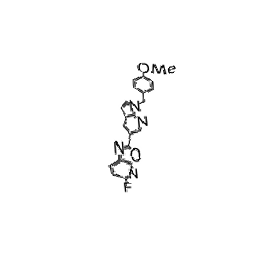 COc1ccc(Cn2ccc3cc(-c4nc5ccc(F)nc5o4)cnc32)cc1